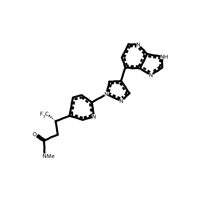 CNC(=O)C[C@@H](c1ccc(-n2cc(-c3ccnc4[nH]cnc34)cn2)nc1)C(F)(F)F